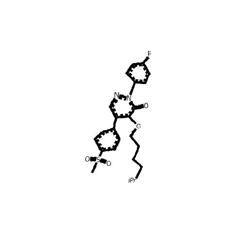 CC(C)CCCCOc1c(-c2ccc(S(C)(=O)=O)cc2)cnn(-c2ccc(F)cc2)c1=O